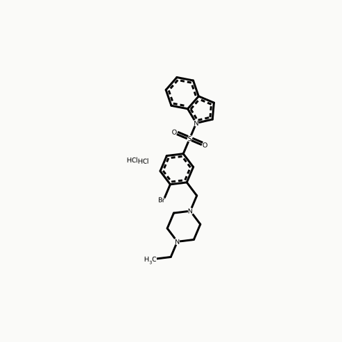 CCN1CCN(Cc2cc(S(=O)(=O)n3ccc4ccccc43)ccc2Br)CC1.Cl.Cl